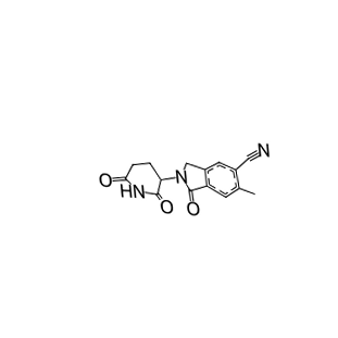 Cc1cc2c(cc1C#N)CN(C1CCC(=O)NC1=O)C2=O